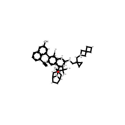 C#Cc1cccc2cc(O)cc(-c3c(F)cc4c(N5CC6CCC(C5)N6C(=O)C(F)(F)F)nc(OCC5(CN6CC7(CCC7)C6)CC5)nc4c3F)c12